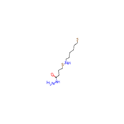 NNC(=O)CCCSNCCCCCC=S